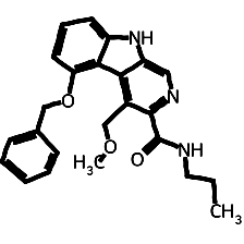 CCCNC(=O)c1ncc2[nH]c3cccc(OCc4ccccc4)c3c2c1COC